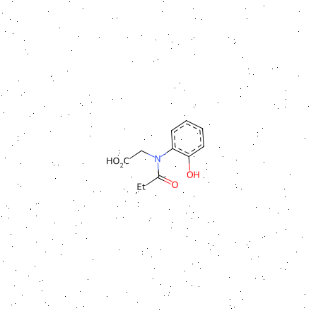 CCC(=O)N(CC(=O)O)c1ccccc1O